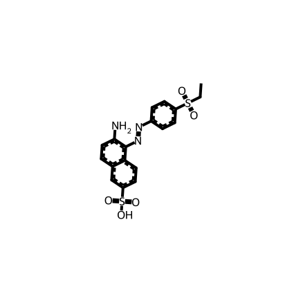 CCS(=O)(=O)c1ccc(/N=N/c2c(N)ccc3cc(S(=O)(=O)O)ccc23)cc1